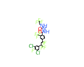 CN(NC(=O)c1ccc(C(F)=CC(c2cc(Cl)c(F)c(Cl)c2)C(F)(F)F)cc1C(F)(F)F)C(=O)NCC(F)(F)F